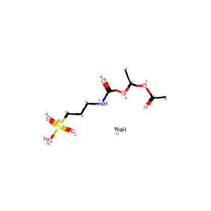 CC(=O)OC(C)OC(=O)NCCCS(=O)(=O)O.[NaH]